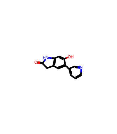 O=C1Cc2cc(-c3cccnc3)c(O)cc2N1